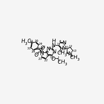 CCOc1nc(Nc2cnn(C3CCN(C)C3)c2C)nc2c1ccn2S(=O)(=O)c1ccc(C)cc1